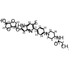 CCC(=O)NC1CCN(c2ccc(-c3nc4cc(O[C@@H]5COC6C5OC[C@H]6O)[nH]c4cc3F)cc2)CC1